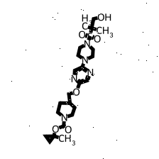 CC1(OC(=O)N2CCC(COc3cnc(N4CCN(S(=O)(=O)C(C)(C)CO)CC4)cn3)CC2)CC1